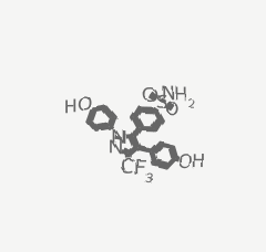 NS(=O)(=O)c1ccc(-c2c(-c3ccc(O)cc3)c(C(F)(F)F)nn2-c2ccc(O)cc2)cc1